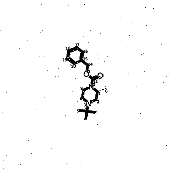 C[C@@H]1CN(C(C)(C)C)CCN1C(=O)OCc1ccccc1